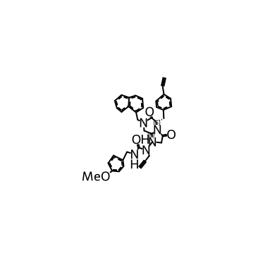 C#CCN(C(=O)NCc1ccc(OC)cc1)N1CC(=O)N2[C@@H](Cc3ccc(C#C)cc3)C(=O)N(Cc3cccc4ccccc34)C[C@@H]21